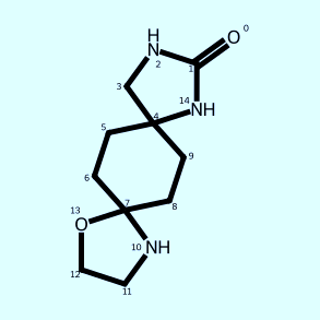 O=C1NCC2(CCC3(CC2)NCCO3)N1